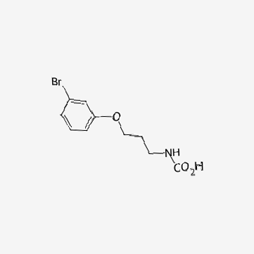 O=C(O)NCCCOc1cccc(Br)c1